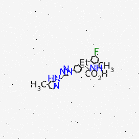 CCc1cc(F)cc(C)c1NC(Cc1ccc(-n2cc(CNc3cc(C)ccn3)nn2)cc1)C(=O)O